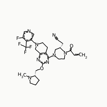 C=CC(=O)N1CCN(c2nc(OC[C@@H]3CCCN3C)nc3c2CCN(c2cncc(F)c2C(F)(F)F)C3)C[C@@H]1CC#N